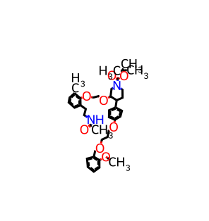 COc1ccccc1COCCCOc1ccc(C2CCN(C(=O)OC(C)(C)C)CC2OCCOc2c(C)cccc2CCNC(C)=O)cc1